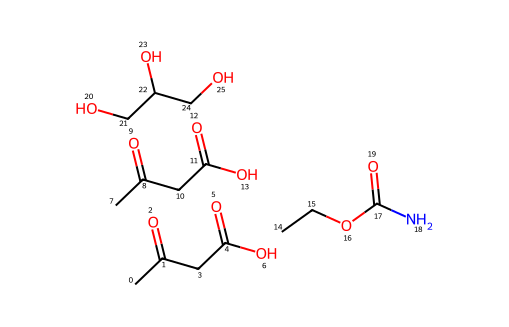 CC(=O)CC(=O)O.CC(=O)CC(=O)O.CCOC(N)=O.OCC(O)CO